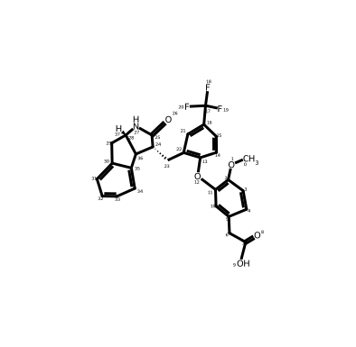 COc1ccc(CC(=O)O)cc1Oc1ccc(C(F)(F)F)cc1C[C@H]1C(=O)N[C@H]2Cc3ccccc3C21